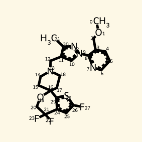 COCc1cccnc1-n1cc(CN2CCC3(CC2)OCC(F)(F)c2cc(F)sc23)c(C)n1